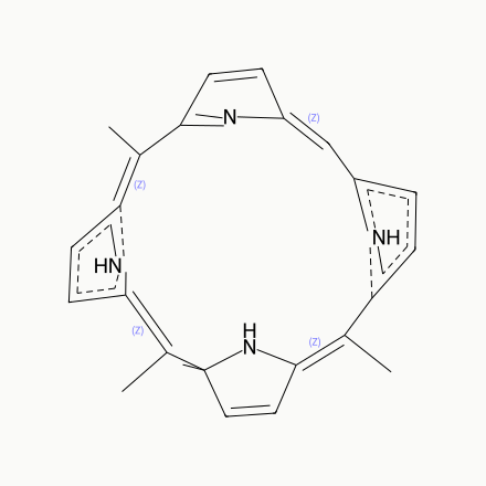 C/C1=C2\C=CC(C)(N2)/C(C)=c2/cc/c([nH]2)=C(\C)C2=N/C(=C\c3ccc1[nH]3)C=C2